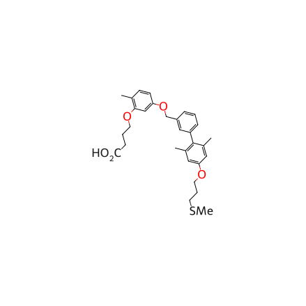 CSCCCOc1cc(C)c(-c2cccc(COc3ccc(C)c(OCCCC(=O)O)c3)c2)c(C)c1